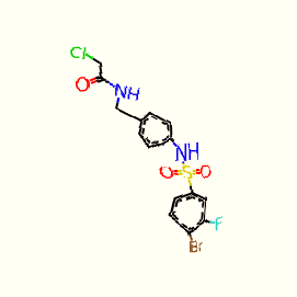 O=C(CCl)NCc1ccc(NS(=O)(=O)c2ccc(Br)c(F)c2)cc1